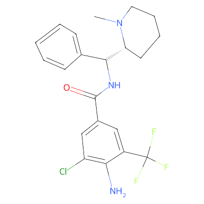 CN1CCCC[C@@H]1C(NC(=O)c1cc(Cl)c(N)c(C(F)(F)F)c1)c1ccccc1